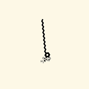 CCCCCCCCCCCCCCCCCCc1ccc(OI)c(S(N)(=O)=O)c1